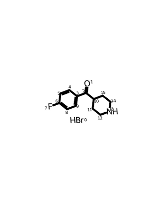 Br.O=C(c1ccc(F)cc1)C1CCNCC1